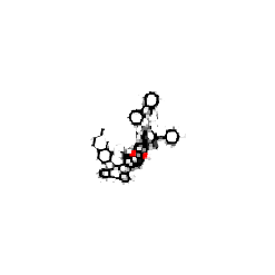 C=C/C=C\c1ccc2c(c1C)Oc1c(ccc3ccccc13)C21c2ccccc2-c2cccc(-c3ccc(-c4nc(-c5ccccc5)nc(-c5cccc6c5oc5ccccc56)n4)cc3)c21